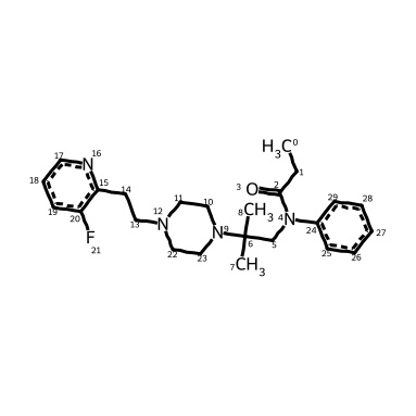 CCC(=O)N(CC(C)(C)N1CCN(CCc2ncccc2F)CC1)c1ccccc1